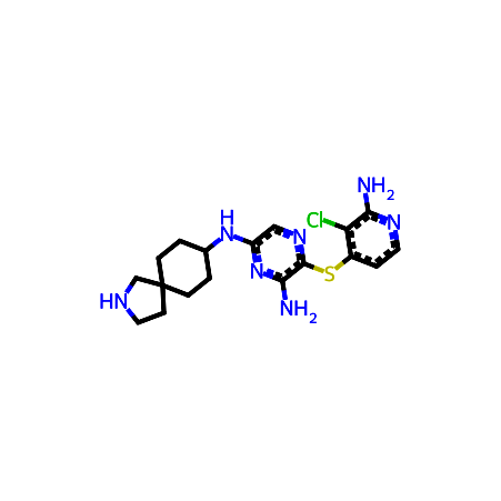 Nc1nc(NC2CCC3(CCNC3)CC2)cnc1Sc1ccnc(N)c1Cl